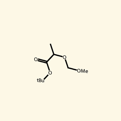 COCOC(C)C(=O)OC(C)(C)C